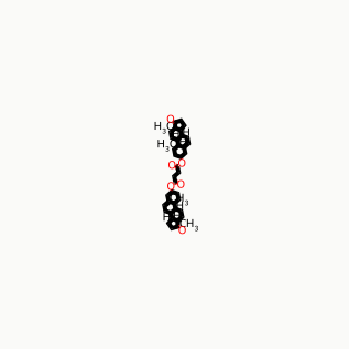 C[C@]12CC[C@H](OC(=O)CCC(=O)O[C@H]3CC[C@@]4(C)C(=CC[C@@H]5[C@@H]4CC[C@]4(C)C(=O)CC[C@@H]54)C3)CC1=CC[C@@H]1[C@@H]2CC[C@]2(C)C(=O)CC[C@@H]12